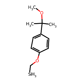 COC(C)(C)c1ccc(OC[SiH3])cc1